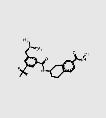 CN(C)Cc1cc(C(=O)NC2CCc3ccc(C(=O)NO)cc3C2)cc(C(F)(F)F)c1